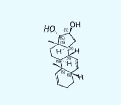 C[C@]12C=CCC[C@H]1C=C[C@@H]1[C@@H]2CC[C@]2(C)[C@H](O)[C@@H](O)C[C@@H]12